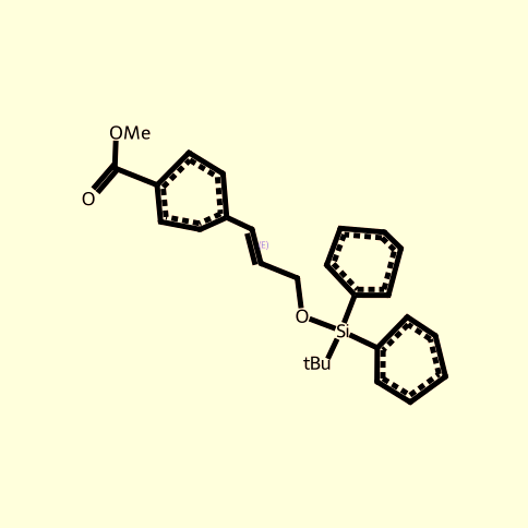 COC(=O)c1ccc(/C=C/CO[Si](c2ccccc2)(c2ccccc2)C(C)(C)C)cc1